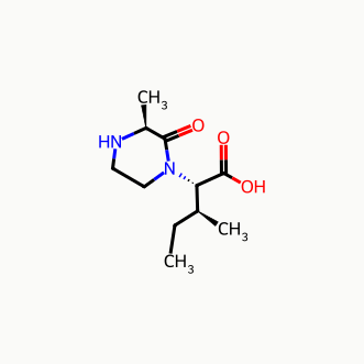 CC[C@H](C)[C@@H](C(=O)O)N1CCN[C@@H](C)C1=O